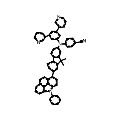 CC1(C)c2cc(-c3ccc4c5c3ccc3cccc(c35)n4-c3ccccc3)ccc2-c2ccc(N(c3ccc(C#N)cc3)c3cc(-c4cccnc4)cc(-c4cccnc4)c3)cc21